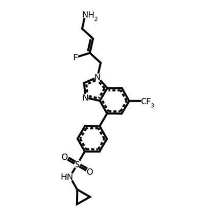 NC/C=C(\F)Cn1cnc2c(-c3ccc(S(=O)(=O)NC4CC4)cc3)cc(C(F)(F)F)cc21